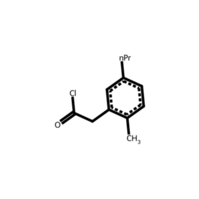 CCCc1ccc(C)c(CC(=O)Cl)c1